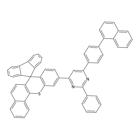 c1ccc(-c2nc(-c3ccc(-c4cccc5ccccc45)cc3)cc(-c3ccc4c(c3)Sc3c(ccc5ccccc35)C43c4ccccc4-c4ccccc43)n2)cc1